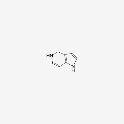 [C]1=CNCc2cc[nH]c21